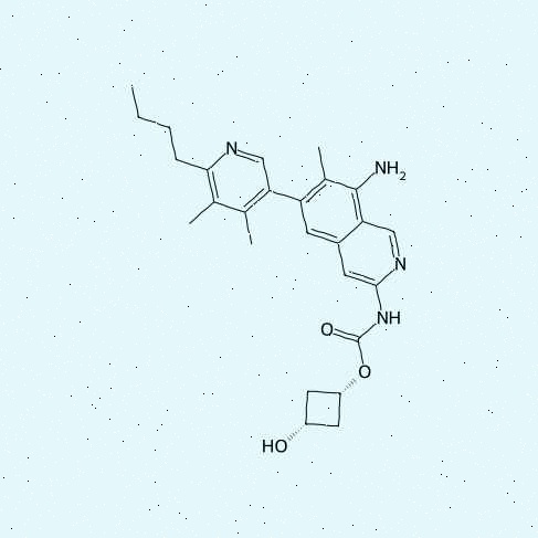 CCCCc1ncc(-c2cc3cc(NC(=O)O[C@H]4C[C@@H](O)C4)ncc3c(N)c2C)c(C)c1C